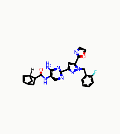 Nc1nc(-c2cc(-c3ncco3)n(Cc3ccccc3F)n2)ncc1NC(=O)C1CC2C=C[C@H]1C2